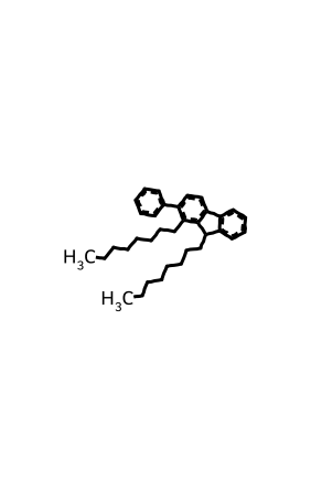 CCCCCCCCc1c(-c2ccccc2)ccc2c1C(CCCCCCCC)c1ccccc1-2